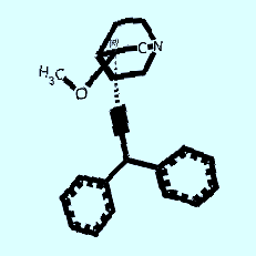 CO[C@]1(C#CC(c2ccccc2)c2ccccc2)CN2CCC1CC2